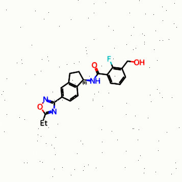 CCc1nc(-c2ccc3c(c2)CC[C@H]3NC(=O)c2cccc(CO)c2F)no1